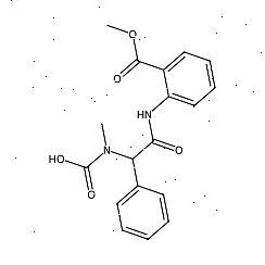 COC(=O)c1ccccc1NC(=O)C(c1ccccc1)N(C)C(=O)O